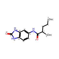 CCCCCCCCCCCCC(CCCCCCCCCC)C(=O)Nc1ccc2[nH]c(=O)[nH]c2c1